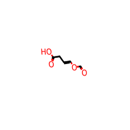 O=COC=CCC(=O)O